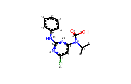 CC(C)N(C(=O)O)c1cc(Cl)nc(Nc2ccccc2)n1